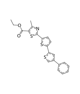 CCOC(=O)c1sc(-c2ccc(-c3cc(-c4ccccc4)cs3)s2)nc1C